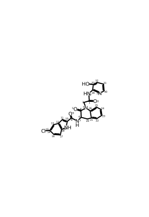 O=C(CN1C(=O)C(NC(=O)c2cc3cc(Cl)ccc3[nH]2)Cc2ccccc21)Nc1ncccc1O